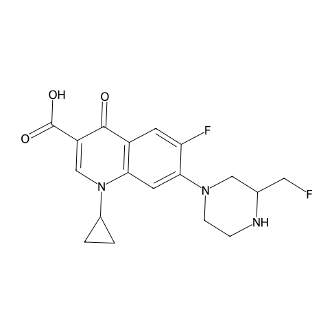 O=C(O)c1cn(C2CC2)c2cc(N3CCNC(CF)C3)c(F)cc2c1=O